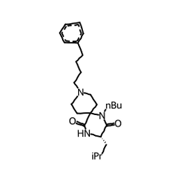 CCCCN1C(=O)[C@H](CC(C)C)NC(=O)C12CCN(CCCCc1ccccc1)CC2